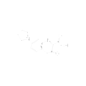 O=C(O)C1=Nc2cc(N3CCCC3)ccc2CC1=O